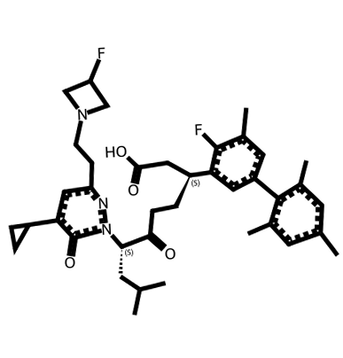 Cc1cc(C)c(-c2cc(C)c(F)c([C@@H](CCC(=O)[C@H](CC(C)C)n3nc(CCN4CC(F)C4)cc(C4CC4)c3=O)CC(=O)O)c2)c(C)c1